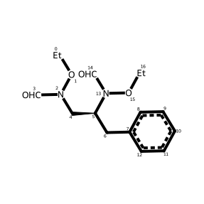 CCON(C=O)C[C@H](Cc1ccccc1)N(C=O)OCC